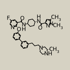 Cc1cc(C(=O)N[C@H]2CC[C@H](NC(=O)c3cc(F)cnc3Oc3cccc(-c4cccc(CCCN5CCN[C@@H](C)C5)c4)c3)CC2)nn1C